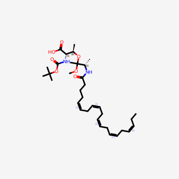 CC/C=C\C/C=C\C/C=C\C/C=C\C/C=C\CCCC(=O)N[C@@H](C)C(C)(OC)O[C@H](C)[C@H](NC(=O)OC(C)(C)C)C(=O)O